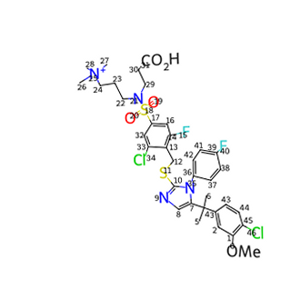 COc1cc(C(C)(C)c2cnc(SCc3c(F)cc(S(=O)(=O)N(CCC[N+](C)(C)C)CCC(=O)O)cc3Cl)n2-c2ccc(F)cc2)ccc1Cl